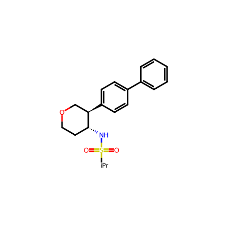 CC(C)S(=O)(=O)N[C@@H]1CCOC[C@H]1c1ccc(-c2ccccc2)cc1